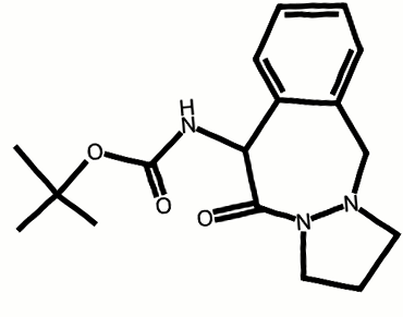 CC(C)(C)OC(=O)NC1C(=O)N2CCCN2Cc2ccccc21